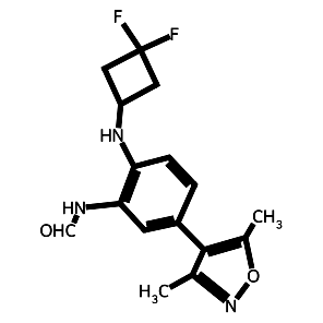 Cc1noc(C)c1-c1ccc(NC2CC(F)(F)C2)c(NC=O)c1